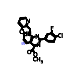 C/C=C\c1c(NCc2ncccc2Cl)nc(-c2ccc(Cl)c(F)c2)nc1C(=O)OC